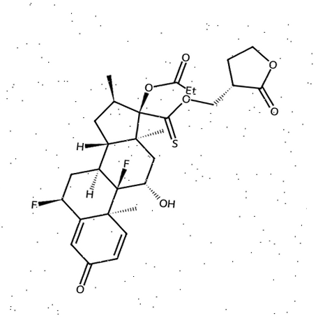 CCC(=O)O[C@]1(C(=S)OC[C@@H]2CCOC2=O)[C@H](C)C[C@H]2[C@@H]3C[C@H](F)C4=CC(=O)C=C[C@]4(C)[C@@]3(F)[C@@H](O)C[C@@]21C